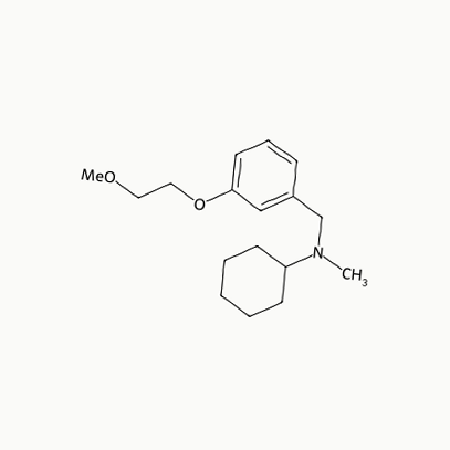 COCCOc1cccc(CN(C)C2CCCCC2)c1